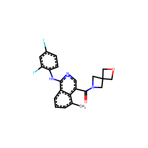 Cc1cccc2c(Nc3ccc(F)cc3F)ncc(C(=O)N3CC4(COC4)C3)c12